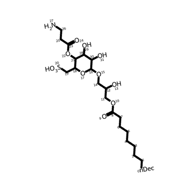 CCCCCCCCCCCCCCCCCC(=O)OCC(O)COC1OC(CS(=O)(=O)O)C(OC(=O)CCN)C(O)C1O